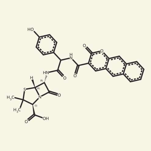 CC1(C)S[C@@H]2[C@H](NC(=O)C(NC(=O)c3cc4cc5ccccc5cc4oc3=O)c3ccc(O)cc3)C(=O)N2[C@H]1C(=O)O